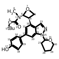 CN(C(=O)OC(C)(C)C)[C@@H]1OC[C@H]1c1cc(-c2ccc(O)cc2)cc2c1cnn2C1CCCCO1